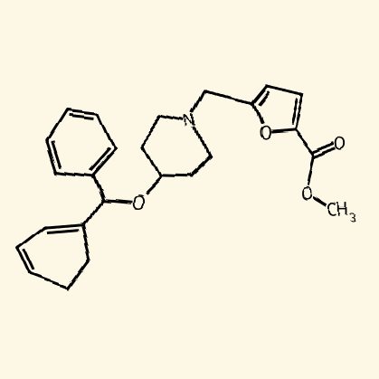 COC(=O)c1ccc(CN2CCC(OC(C3=CC=CCC3)c3ccccc3)CC2)o1